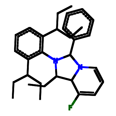 CCC(CC)c1cccc(C(CC)CC)c1N1C(CC)C2C(F)=CC=CN2C1c1ccccc1